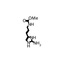 COC(=O)NC/C=C/C1=CNC(N)N1